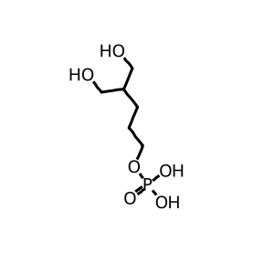 O=P(O)(O)OCCCC(CO)CO